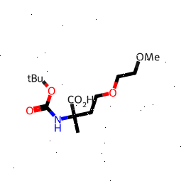 COCCOCCC(C)(NC(=O)OC(C)(C)C)C(=O)O